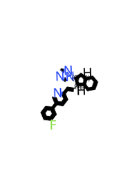 Fc1cccc(-c2ccc(C=C[C@H]3[C@H]4CC=CC[C@@H]4C[C@@H]3n3cncn3)nc2)c1